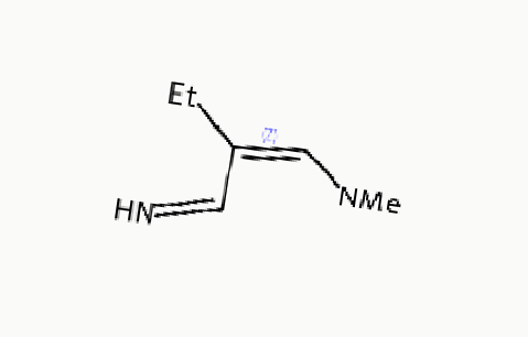 CC/C(C=N)=C/NC